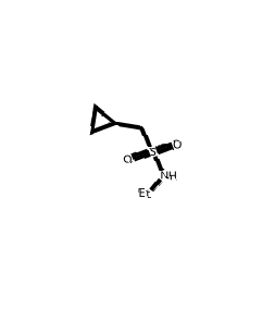 CCNS(=O)(=O)CC1CC1